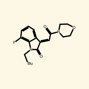 CCC(C)CN1C(=O)/C(=C/C(=O)N2CCOCC2)c2cccc(F)c21